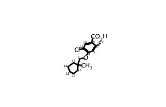 CC1(COc2cc(F)c(C(=O)O)cc2Cl)CCCCC1